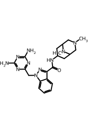 CN1CC2CC(NC(=O)c3nn(Cc4nc(N)nc(N)n4)c4ccccc34)CC(C1)N2C